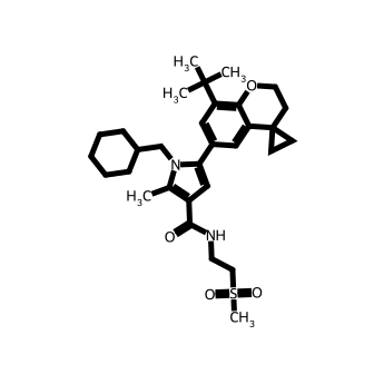 Cc1c(C(=O)NCCS(C)(=O)=O)cc(-c2cc(C(C)(C)C)c3c(c2)C2(CCO3)CC2)n1CC1CCCCC1